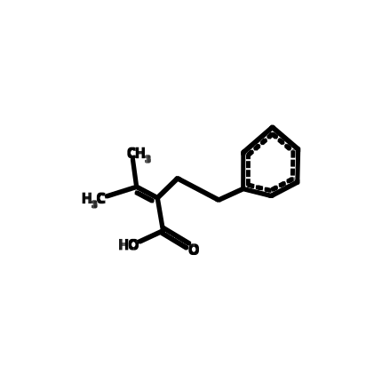 CC(C)=C(CCc1ccccc1)C(=O)O